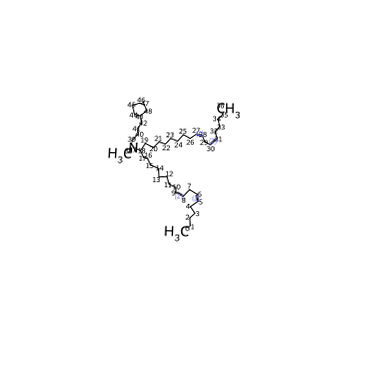 CCCCC/C=C\C/C=C\CCCCCCCCC(CCCCCCCC/C=C\C/C=C\CCCCC)N(C)CCCCC1CCCCC1